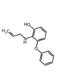 C=CCNc1c(O)cccc1Oc1ccccc1